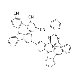 N#Cc1ccc(-c2cc(C#N)ccc2-n2c3ccccc3c3cc(-c4ccc(-n5c6ccccc6c6ccccc65)c(-c5nc(-c6ccccc6)nc(-c6ccccc6)n5)c4)ccc32)c(C#N)c1